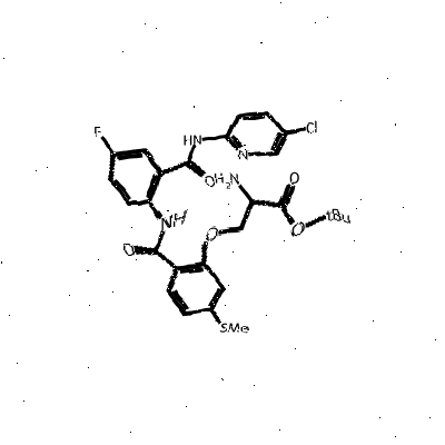 CSc1ccc(C(=O)Nc2ccc(F)cc2C(=O)Nc2ccc(Cl)cn2)c(OCC(N)C(=O)OC(C)(C)C)c1